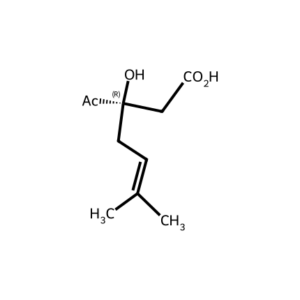 CC(=O)[C@@](O)(CC=C(C)C)CC(=O)O